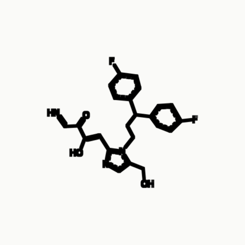 N=CC(=O)/C(O)=C/c1ncc(CO)n1CCC(c1ccc(F)cc1)c1ccc(F)cc1